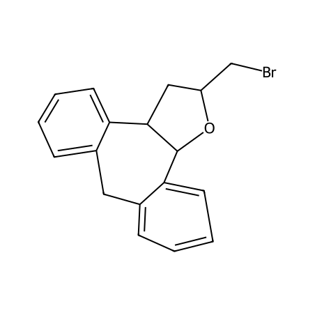 BrCC1CC2c3ccccc3Cc3ccccc3C2O1